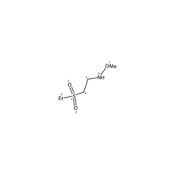 CCS(=O)(=O)CCNOC